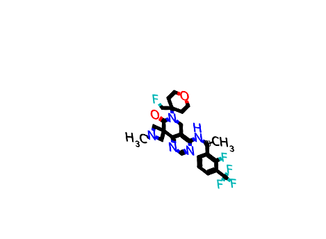 C[C@@H](Nc1ncnc2c1CN(C1(CF)CCOCC1)C(=O)C21CN(C)C1)c1cccc(C(F)(F)F)c1F